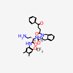 Cc1cc(NC(=O)[C@H](CCN)NC(=O)[C@@H]2Cc3ccccc3CN2C(=O)CCC(=O)c2ccccc2)c(OC(F)(F)F)cc1C